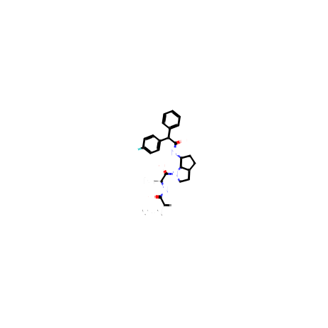 CN[C@@H](C)C(=O)N[C@H](C(=O)N1CCC2CCC(NC(=O)C(c3ccccc3)c3ccc(F)cc3)C21)C(C)(C)C